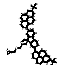 C=CC1(CCCOCC2CO2)c2cc(-c3ccc4ccc5cc(C(C)(C)C)cc6ccc3c4c56)ccc2-c2ccc(-c3ccc4ccc5cc(C(C)(C)C)cc6ccc3c4c56)cc21